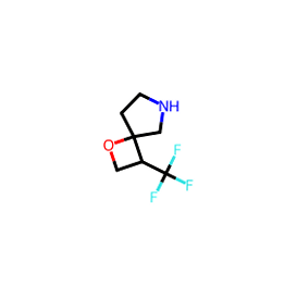 FC(F)(F)C1COC12CCNC2